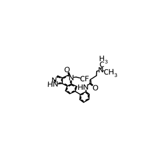 CN(C)CCCC(=O)Nc1ccccc1-c1ccc2c3[nH]ncc3c(=O)n(CC(F)(F)F)c2c1